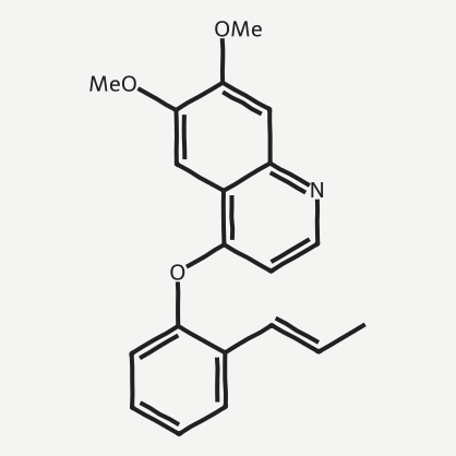 C/C=C/c1ccccc1Oc1ccnc2cc(OC)c(OC)cc12